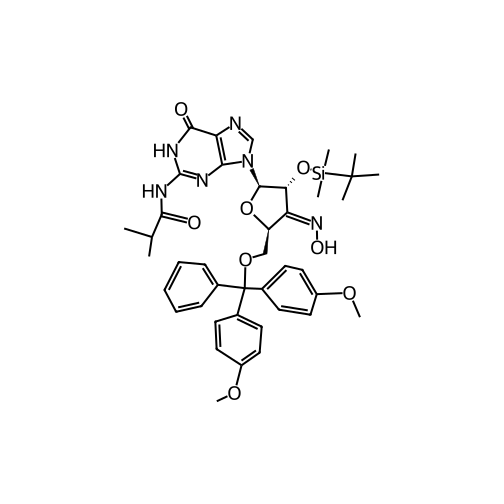 COc1ccc(C(OC[C@H]2O[C@@H](n3cnc4c(=O)[nH]c(NC(=O)C(C)C)nc43)[C@H](O[Si](C)(C)C(C)(C)C)/C2=N/O)(c2ccccc2)c2ccc(OC)cc2)cc1